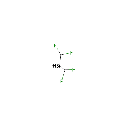 FC(F)[SiH]C(F)F